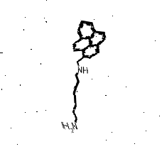 NCCCCCCNCc1ccc2ccc3cccc4ccc1c2c34